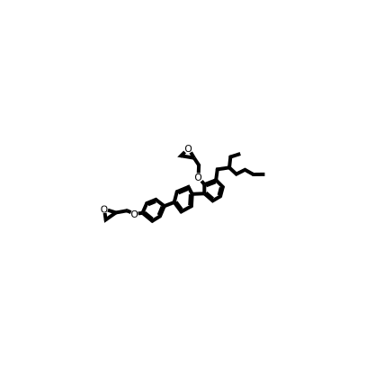 CCCCC(CC)Cc1cccc(-c2ccc(-c3ccc(OCC4CO4)cc3)cc2)c1OCC1CO1